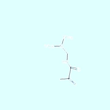 C=C(C)C(=O)NCN(CCCCCC)CCCCCC